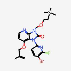 C=C(C)COc1ccnc2c1n(-c1ccc(Br)c(F)n1)c(=O)n2COCC[Si](C)(C)C